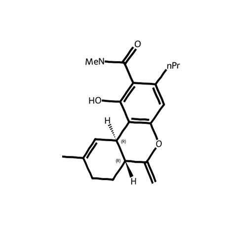 C=C1Oc2cc(CCC)c(C(=O)NC)c(O)c2[C@@H]2C=C(C)CC[C@@H]12